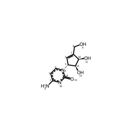 Nc1ccn([C@@H]2C=C(CO)[C@@H](O)[C@H]2O)c(=O)n1